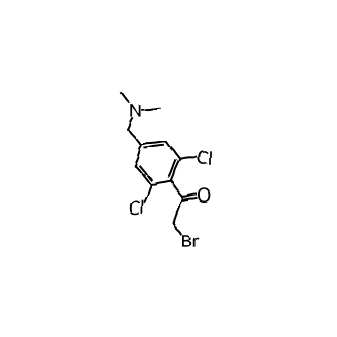 CN(C)Cc1cc(Cl)c(C(=O)CBr)c(Cl)c1